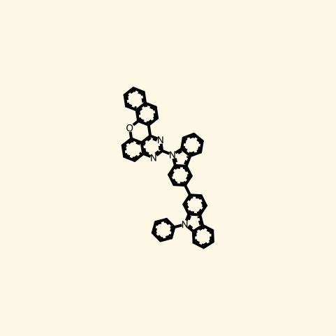 c1ccc(-n2c3ccccc3c3ccc(-c4ccc5c(c4)c4ccccc4n5-c4nc5c6c(cccc6n4)Oc4c-5ccc5ccccc45)cc32)cc1